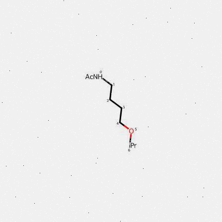 CC(=O)NCCCCOC(C)C